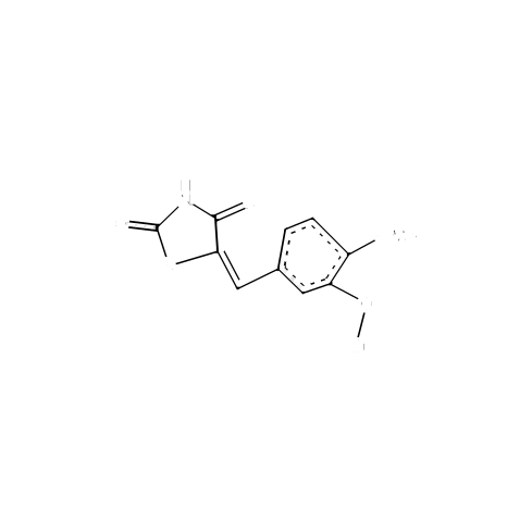 CCOc1cc(/C=C2/SC(=O)NC2=S)ccc1OC